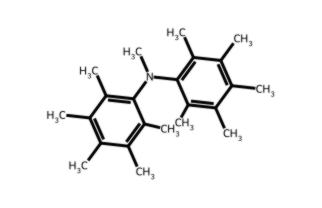 Cc1c(C)c(C)c(N(C)c2c(C)c(C)c(C)c(C)c2C)c(C)c1C